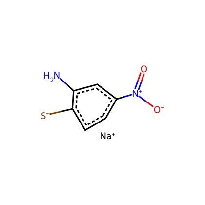 Nc1cc([N+](=O)[O-])ccc1[S-].[Na+]